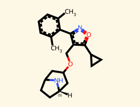 Cc1cccc(C)c1-c1noc(C2CC2)c1COC1CC2CC[C@@H](C1)N2